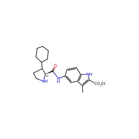 CCOC(=O)c1[nH]c2ccc(NC(=O)[C@H]3NCCC3C3CCCCC3)cc2c1C